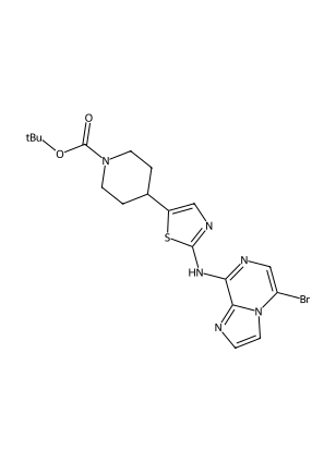 CC(C)(C)OC(=O)N1CCC(c2cnc(Nc3ncc(Br)n4ccnc34)s2)CC1